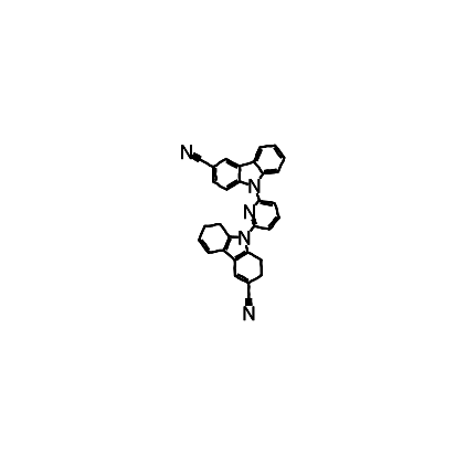 N#CC1=Cc2c3c(n(-c4cccc(-n5c6ccccc6c6cc(C#N)ccc65)n4)c2CC1)CCC=C3